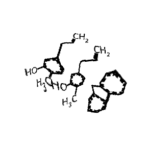 C=CCc1ccc(C)c(O)c1.C=CCc1ccc(C)c(O)c1.c1ccc2c(c1)Cc1ccccc1-2